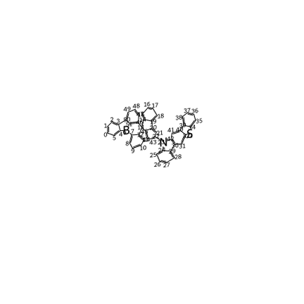 c1ccc2c(c1)B1c3ccccc3C3(c4ccccc4-c4cc(-n5c6ccccc6c6cc7sc8ccccc8c7cc65)ccc43)c3cccc-2c31